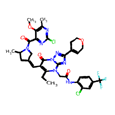 CCc1c(C=C2CC(C)N(C(=O)c3nc(Cl)nc(C)c3OC)C2)c(=O)n2nc(C3=CCOCC3)nc2n1CC(=O)Nc1ccc(C(F)(F)F)cc1Cl